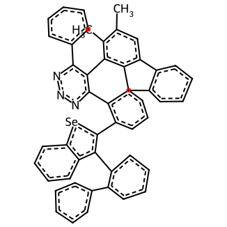 Cc1cc2c(c(-c3c(-c4ccccc4)nnnc3-c3ccccc3-c3[se]c4ccccc4c3-c3ccccc3-c3ccccc3)c1C)Cc1ccccc1-2